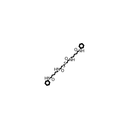 O=C(CSSCC(=O)NCCCCC(=O)Nc1ccccc1)NCCCCC(=O)Nc1ccccc1